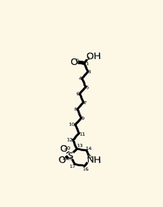 O=C(O)CCCCCCCCCCC1CNCCS1(=O)=O